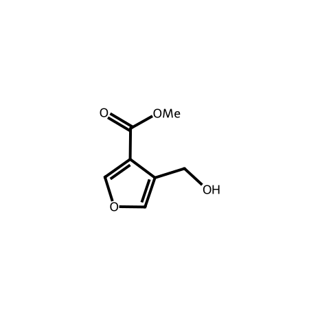 COC(=O)c1cocc1CO